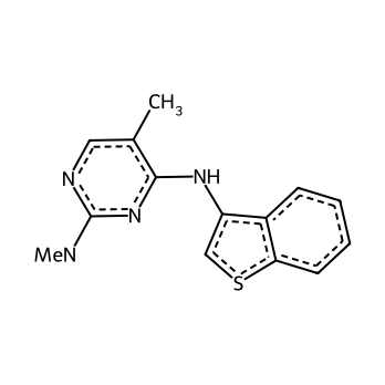 CNc1ncc(C)c(Nc2csc3ccccc23)n1